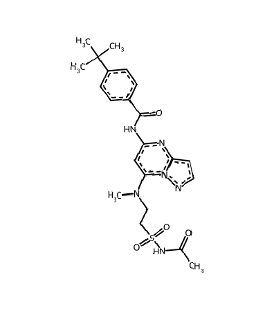 CC(=O)NS(=O)(=O)CCN(C)c1cc(NC(=O)c2ccc(C(C)(C)C)cc2)nc2ccnn12